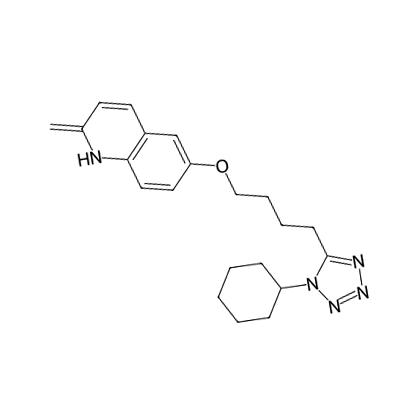 C=C1C=Cc2cc(OCCCCc3nnnn3C3CCCCC3)ccc2N1